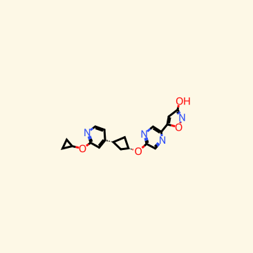 Oc1cc(-c2cnc(O[C@H]3C[C@@H](c4ccnc(OC5CC5)c4)C3)cn2)on1